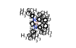 CC(C)(C)c1ccc(N2c3cccc4c3B3c5c(cc(C(C)(C)C)cc5C(c5ccccc5)(c5ccccc5)c5cc(C(C)(C)C)cc2c53)N4C2=CCC(C(C)(C)C)C=C2)cc1